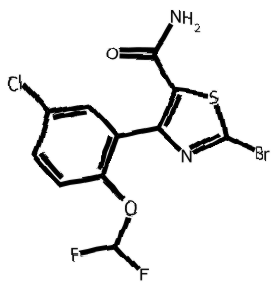 NC(=O)c1sc(Br)nc1-c1cc(Cl)ccc1OC(F)F